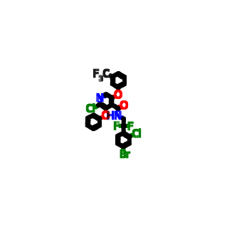 O=C(NCC(F)(F)c1ccc(Br)cc1Cl)c1c(Oc2cccc(C(F)(F)F)c2)cnc(Cl)c1Oc1ccccc1